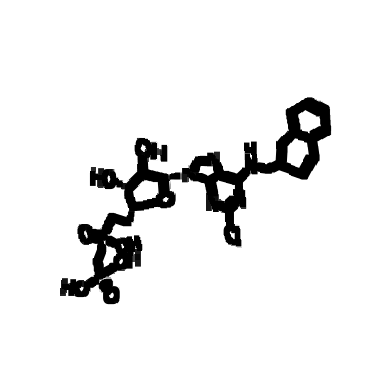 O=P(O)(O)CP(=O)(O)CC[C@H]1O[C@@H](n2cnc3c(NCc4ccc5ccccc5c4)nc(Cl)nc32)C(O)[C@H]1O